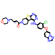 O=C(/C=C/CN1CCOCC1)N1CCc2c(sc3ncnc(Nc4ccc(Oc5ccc6ncnn6c5)c(Cl)c4)c23)C1